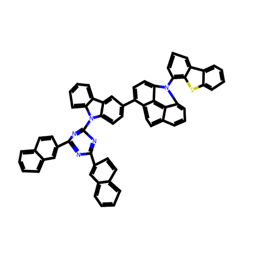 c1ccc2cc(-c3nc(-c4ccc5ccccc5c4)nc(-n4c5ccccc5c5cc(-c6ccc7c8c6ccc6cccc(c68)n7-c6cccc7c6sc6ccccc67)ccc54)n3)ccc2c1